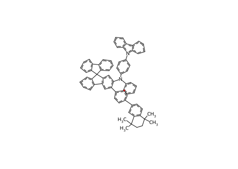 CC1(C)CCC(C)(C)c2cc(-c3ccc(-c4cc5c(cc4N(c4ccccc4)c4ccc(-n6c7ccccc7c7ccccc76)cc4)C4(c6ccccc6-c6ccccc64)c4ccccc4-5)cc3)ccc21